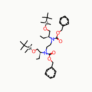 CC[C@@H](CO[Si](C)(C)C(C)(C)C)N(CCN(C(=O)OCc1ccccc1)[C@@H](CC)CO[Si](C)(C)C(C)(C)C)C(=O)OCc1ccccc1